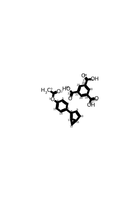 CC(=O)Oc1ccc(-c2ccc3cc2-3)cc1.O=C(O)c1cc(C(=O)O)cc(C(=O)O)c1